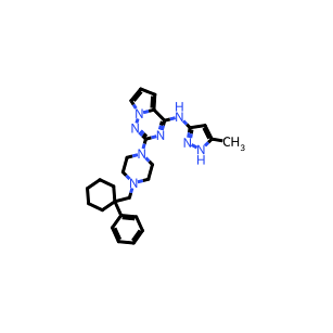 Cc1cc(Nc2nc(N3CCN(CC4(c5ccccc5)CCCCC4)CC3)nn3cccc23)n[nH]1